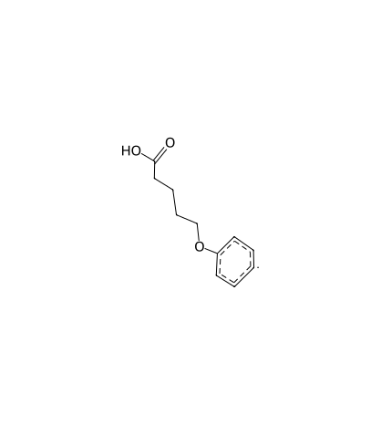 O=C(O)CCCCOc1cc[c]cc1